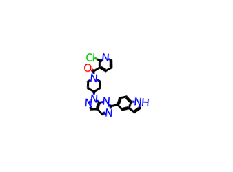 O=C(c1cccnc1Cl)N1CCC(n2ncc3cnc(-c4ccc5[nH]ccc5c4)nc32)CC1